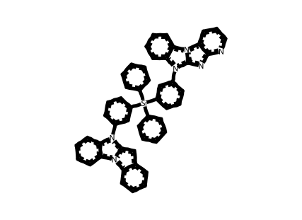 c1ccc([Si](c2ccccc2)(c2cccc(-n3c4ccccc4n4c5ccccc5cc34)c2)c2cccc(-n3c4ccccc4n4c5cccnc5nc34)c2)cc1